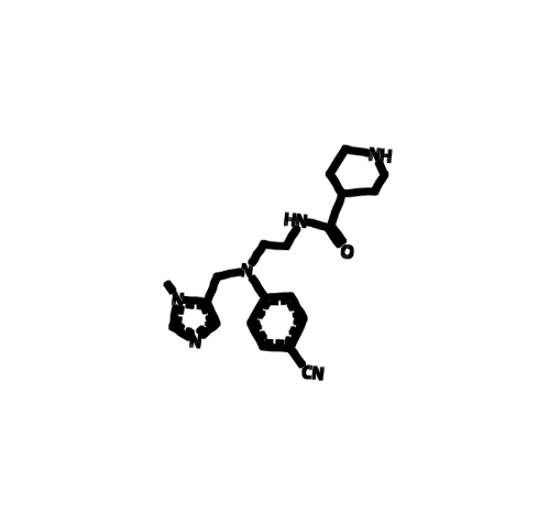 Cn1cncc1CN(CCNC(=O)C1CCNCC1)c1ccc(C#N)cc1